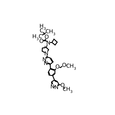 COCOc1cc(-c2cnnc(OC)c2)ccc1-c1ccc(N2CC[C@@H](N(C(=O)OC(C)(C)C)C3CCC3)C2)nn1